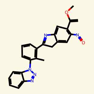 C=C(OC)c1cc2c(cc1N=O)CC(c1cccc(-n3nnc4ccccc43)c1C)=N2